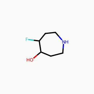 OC1CCNCCC1F